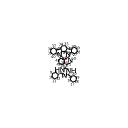 CN1C=C(C2NC(c3ccccc3)=NC(c3ccccc3)N2)C=CC1n1c2ccccc2c2ccc3c4ccccc4n(-c4ccccc4)c3c21